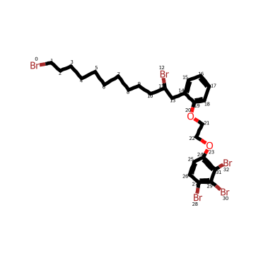 BrCCCCCCCCCCC(Br)Cc1ccccc1OCCOc1ccc(Br)c(Br)c1Br